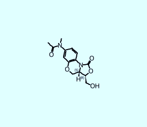 CC(=O)N(C)c1ccc2c(c1)OC[C@H]1[C@H](CO)OC(=O)N21